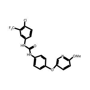 COc1ccc(Oc2ccc(NC(=O)Nc3ccc(Cl)c(C(F)(F)F)c3)cc2)cn1